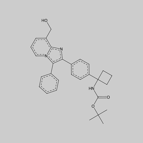 CC(C)(C)OC(=O)NC1(c2ccc(-c3nc4c(CO)cccn4c3-c3ccccc3)cc2)CCC1